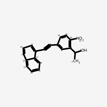 CC(O)c1cc(C#Cc2cccc3ccccc23)ccc1[N+](=O)[O-]